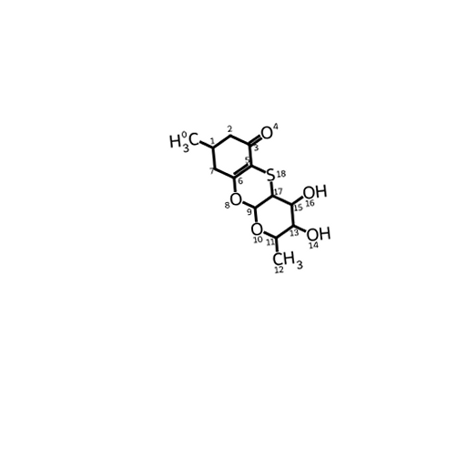 CC1CC(=O)C2=C(C1)OC1OC(C)C(O)C(O)C1S2